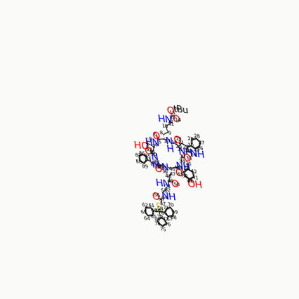 C[C@@H](O)[C@@H]1NC(=O)[C@H](CCCCNC(=O)OC(C)(C)C)NC(=O)[C@@H](Cc2c[nH]c3ccccc23)NC(=O)[C@H](Cc2ccc(O)cc2)NC(=O)[C@H](CCC(=O)NCCNC(=O)CSC(c2ccccc2)(c2ccccc2)c2ccccc2)N(C)C(=O)[C@H](Cc2ccccc2)NC1=O